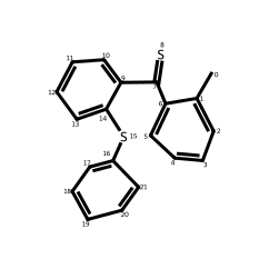 Cc1ccccc1C(=S)c1ccccc1Sc1ccccc1